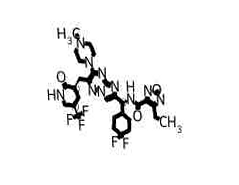 CCc1nonc1C(=O)N[C@H](c1cn2nc(C[C@H]3C[C@@H](C(F)(F)F)CNC3=O)c(N3CCN(C)CC3)nc2n1)C1CCC(F)(F)CC1